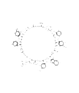 CCCC[C@H]1C(=O)N(C)CC(=O)N[C@@H](CC(=O)O)C(=O)N[C@@H](C(C)C)C(=O)N(C)[C@@H](Cc2ccccc2)C(=O)N[C@@H](Cc2ccc(O)cc2)C(=O)N(C)CC(=O)N[C@@H](Cc2c[nH]c3ccccc23)C(=O)N[C@@H](Cc2ccc(O)cc2)C(=O)N[C@@H](CC(C)C)C(=O)N[C@H](C(=O)NCC(N)=O)CSCC(=O)N[C@@H](Cc2ccccc2)C(=O)N(C)[C@@H](Cc2ccc(O)cc2)C(=O)N1C